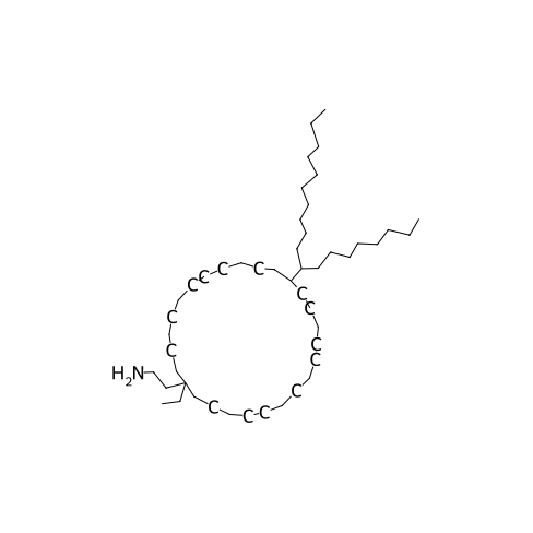 CCCCCCCCCCC(CCCCCCCC)C1CCCCCCCCCCCCCC(CC)(CCN)CCCCCCCCCCC1